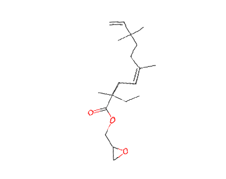 C=CC(C)(C)CCC(C)=CCC(C)(CC)C(=O)OCC1CO1